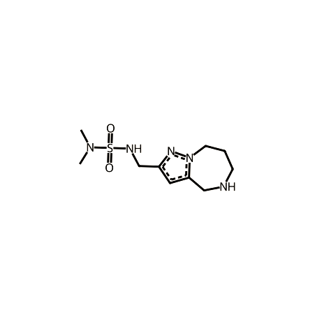 CN(C)S(=O)(=O)NCc1cc2n(n1)CCCNC2